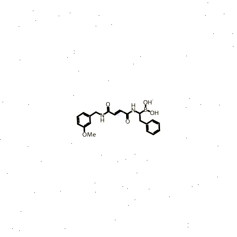 COc1cccc(CNC(=O)/C=C/C(=O)NC(Cc2ccccc2)B(O)O)c1